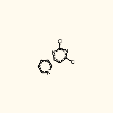 Clc1ccnc(Cl)n1.c1ccncc1